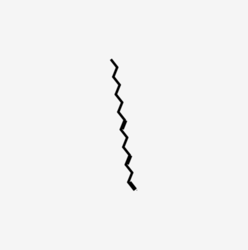 [CH]=CCC=CCCC=CCCCCCCC